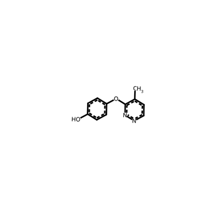 Cc1ccnnc1Oc1ccc(O)cc1